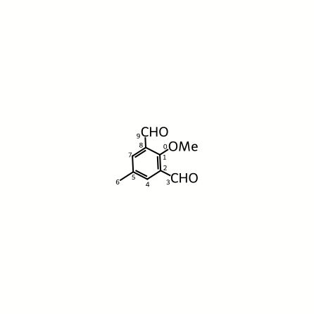 COc1c(C=O)cc(C)cc1C=O